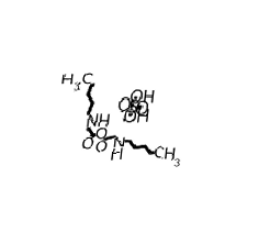 CCCCCNCC(=O)OC(=O)CNCCCCC.O=S(=O)(O)O